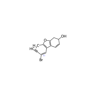 C#C/C(Br)=C\c1c(C)oc2c1C=CC(O)C2